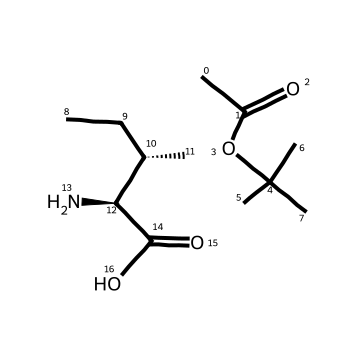 CC(=O)OC(C)(C)C.CC[C@H](C)[C@H](N)C(=O)O